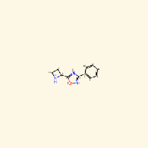 c1ccc(-c2noc(C3CCN3)n2)cc1